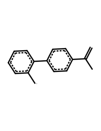 [CH2]c1ccccc1-c1ccc(C(=C)C)cc1